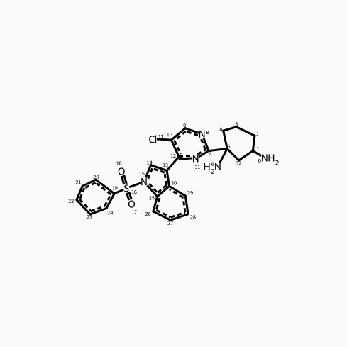 NC1CCCC(N)(c2ncc(Cl)c(-c3cn(S(=O)(=O)c4ccccc4)c4ccccc34)n2)C1